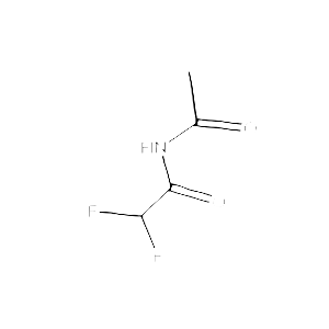 CC(=O)NC(=O)C(F)F